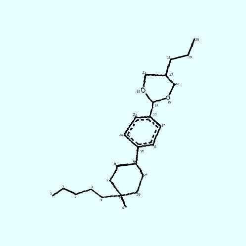 CCCCCC1(C)CCC(c2ccc(C3OCC(CCC)CO3)cc2)CC1